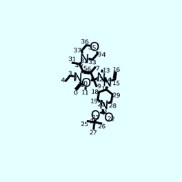 C=CN(CC)/C(=C(/C)C(C)(OC)N(C)N(C=C)C1CCN(C(=O)OC(C)(C)C)CC1)C(C)N1CCOCC1